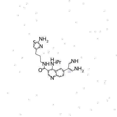 CC(C)Nc1c(C(=O)NCCCc2csc(N)n2)cnc2ccc(/C(C=N)=C/N)cc12